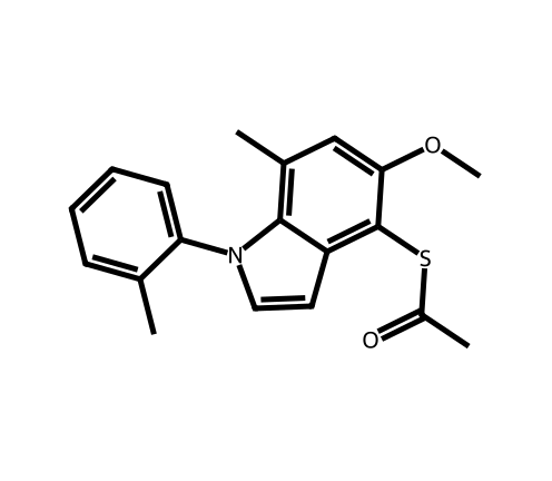 COc1cc(C)c2c(ccn2-c2ccccc2C)c1SC(C)=O